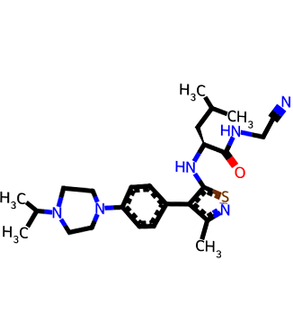 Cc1nsc(N[C@@H](CC(C)C)C(=O)NCC#N)c1-c1ccc(N2CCN(C(C)C)CC2)cc1